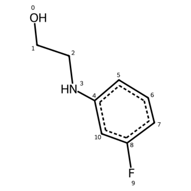 OCCNc1cccc(F)c1